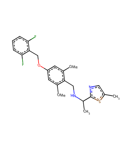 COc1cc(OCc2c(F)cccc2F)cc(OC)c1CNC(C)c1ncc(C)s1